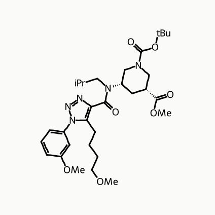 COCCCCc1c(C(=O)N(CC(C)C)[C@H]2C[C@@H](C(=O)OC)CN(C(=O)OC(C)(C)C)C2)nnn1-c1cccc(OC)c1